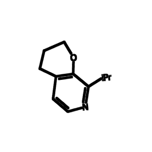 CC(C)c1nccc2c1OCCC2